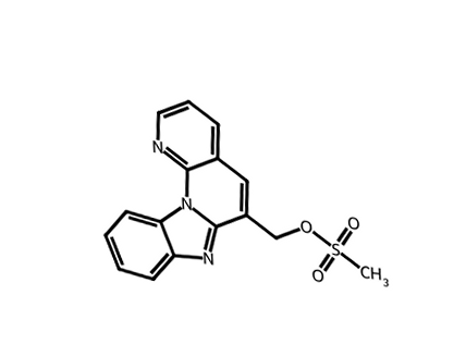 CS(=O)(=O)OCc1cc2cccnc2n2c1nc1ccccc12